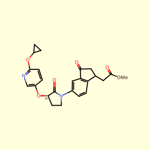 COC(=O)CC1CC(=O)c2cc(N3CC[C@@H](Oc4ccc(OC5CC5)nc4)C3=O)ccc21